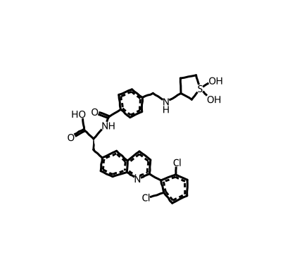 O=C(N[C@@H](Cc1ccc2nc(-c3c(Cl)cccc3Cl)ccc2c1)C(=O)O)c1ccc(CNC2CCS(O)(O)C2)cc1